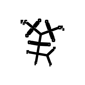 O=S(=O)(C(S(=O)(=O)C(F)(F)F)S(=O)(=O)C(F)(F)C(F)F)C(F)(F)F